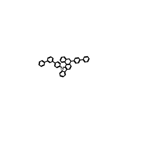 c1ccc(-c2ccc(C3Cc4ccccc4-c4c3ccc3c5ccccc5n(-c5ccc(-c6cccc(-c7ccccc7)c6)cc5)c43)cc2)cc1